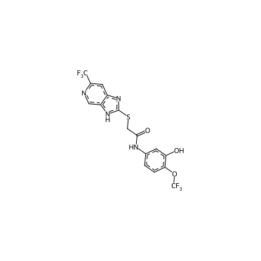 O=C(CSc1nc2cc(C(F)(F)F)ncc2[nH]1)Nc1ccc(OC(F)(F)F)c(O)c1